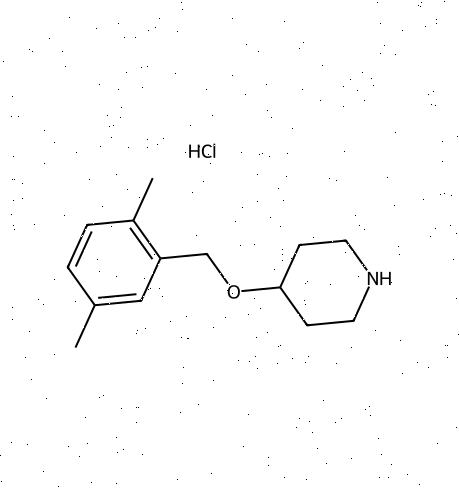 Cc1ccc(C)c(COC2CCNCC2)c1.Cl